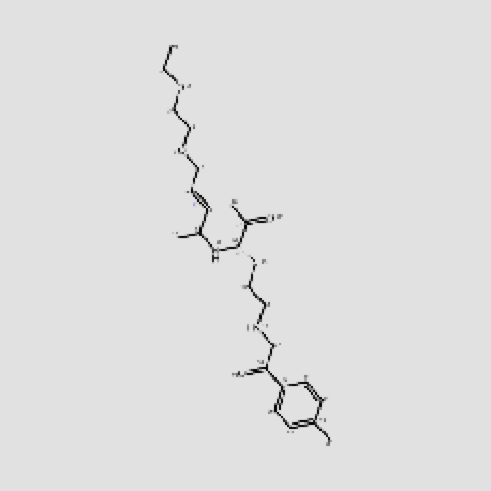 CCOCCOC/C=C/C(C)N[C@@H](CCCNCC(=O)c1ccc(C)cc1)C(C)=O